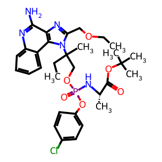 CCOCc1nc2c(N)nc3ccccc3c2n1C(C)(CC)COP(=O)(N[C@@H](C)C(=O)OC(C)(C)C)Oc1ccc(Cl)cc1